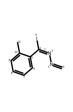 C=N/N=C(/I)c1ccccc1C